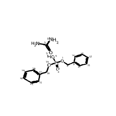 NC(N)=O.O=P(O)(OCc1ccccc1)OCc1ccccc1